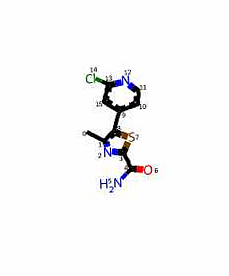 Cc1nc(C(N)=O)sc1-c1ccnc(Cl)c1